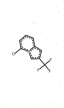 FC(F)(F)c1cc2cccc(Cl)n2c1